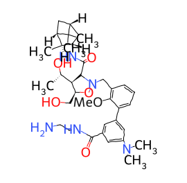 COc1c(CN2O[C@@H](CO)[C@@H]([C@H](C)O)C2C(=O)N[C@H]2C[C@H]3C[C@@H]([C@@H]2C)C3(C)C)cccc1-c1cc(C(=O)NCCN)cc(N(C)C)c1